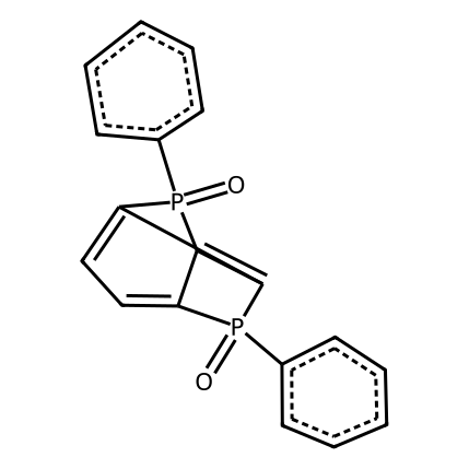 O=P1(c2ccccc2)C2=CC=C3C1=C2P3(=O)c1ccccc1